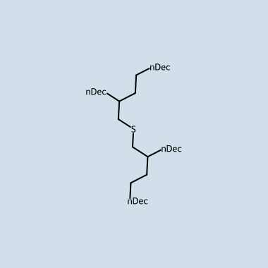 CCCCCCCCCCCCC(CCCCCCCCCC)CSCC(CCCCCCCCCC)CCCCCCCCCCCC